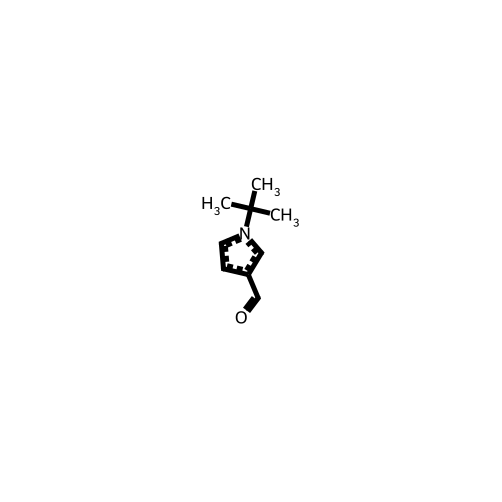 CC(C)(C)n1ccc(C=O)c1